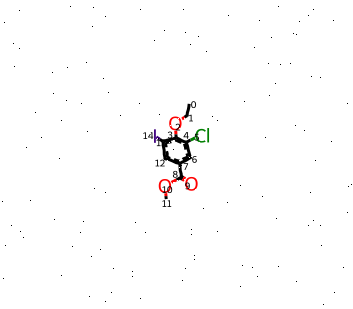 CCOc1c(Cl)cc(C(=O)OC)cc1I